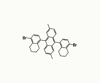 Cc1ccc2c(-c3ccc(Br)c4c3CCCC4)c3cc(C)ccc3c(-c3ccc(Br)c4c3CCCC4)c2c1